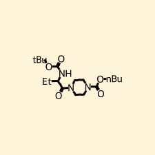 CCCCOC(=O)N1CCN(C(=O)C(CC)NC(=O)OC(C)(C)C)CC1